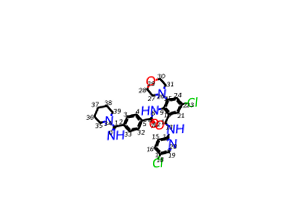 N=C(c1ccc(C(=O)Nc2c(C(=O)Nc3ccc(Cl)cn3)cc(Cl)cc2N2CCOCC2)cc1)N1CCCCC1